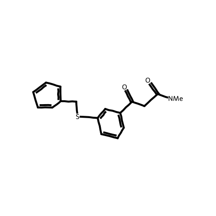 CNC(=O)CC(=O)c1cccc(SCc2ccccc2)c1